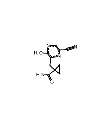 Cc1ncc(C#N)nc1CC1(C(N)=O)CC1